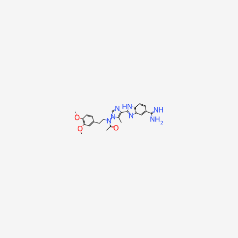 COc1ccc(CCN(C(C)=O)n2cnc(-c3nc4cc(C(=N)N)ccc4[nH]3)c2C)cc1OC